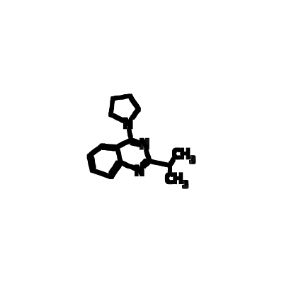 CC(C)c1nc(N2CCCC2)c2ccccc2n1